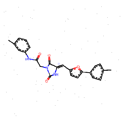 Cc1ccc(-c2ccc(/C=C3\NC(=O)N(CC(=O)Nc4cccc(C)c4)C3=O)o2)cc1